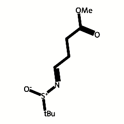 COC(=O)CCC=N[S+]([O-])C(C)(C)C